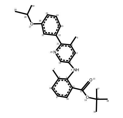 Cc1cc(Nc2c(C)cccc2C(=O)OC(C)(C)C)cnc1-c1cccc(OC(C)C)c1